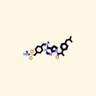 CNS(=O)(=O)CC1CCC(/C=[N+](/C)c2ncnc3c2ccn3C(=O)C(C)c2ccc(CC(C)C)cc2)CC1